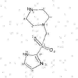 O=S(=O)([CH]N1CCNCC1)c1ncc[nH]1